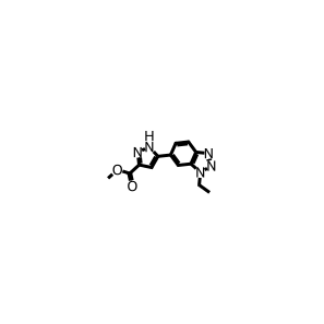 CCn1nnc2ccc(-c3cc(C(=O)OC)n[nH]3)cc21